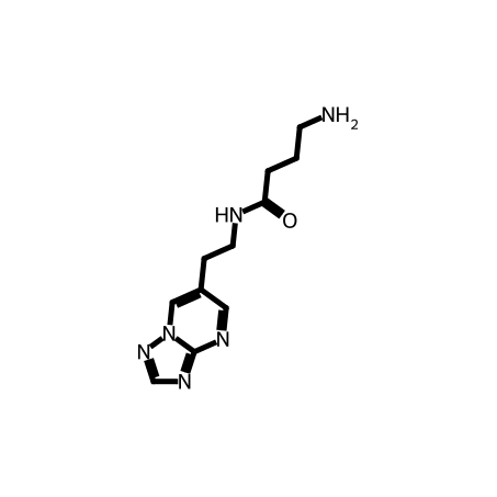 NCCCC(=O)NCCc1cnc2ncnn2c1